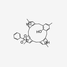 Cc1cc2c(O)c(c1)Cc1cc(C)cc(c1O)Cc1cc(C)cc(c1OS(=O)(=O)c1ccccc1)Cc1cc(C)cc(c1O)C2